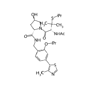 CC(=O)N[C@H](C(=O)N1C[C@H](O)C[C@H]1C(=O)NCc1ccc(-c2scnc2C)cc1OC(C)C)C(C)(C)SC(C)C